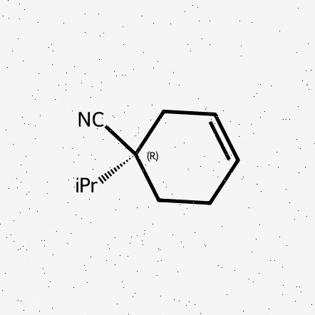 CC(C)[C@]1(C#N)CC=CCC1